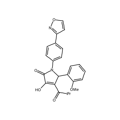 COc1ccccc1C1C(C(=O)C(C)C)=C(O)C(=O)N1c1ccc(-c2ccon2)cc1